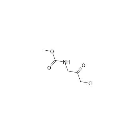 COC(=O)NCC(=O)CCl